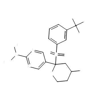 CC1CCOC(c2cnc(N(C)C)nc2)(S(=O)(=O)c2cccc(C(F)(F)F)c2)C1